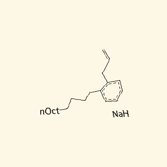 C=CCc1ccccc1CCCCCCCCCCCC.[NaH]